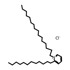 CCCCCCCCCCCCCCCC[n+]1ccccc1CCCCCCCCCCCC.[Cl-]